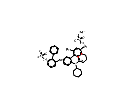 CC(C)c1cc(C(C)C)c(-c2ccccc2P(C2CCCCC2)C2CCCCC2)c(C(C)C)c1.CS(=O)(=O)[O-].CS(=O)(=O)[O-].Nc1ccccc1-c1ccccc1.[Pd+2]